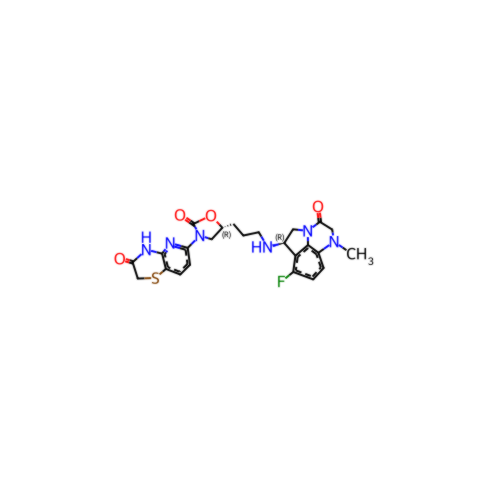 CN1CC(=O)N2C[C@H](NCCC[C@@H]3CN(c4ccc5c(n4)NC(=O)CS5)C(=O)O3)c3c(F)ccc1c32